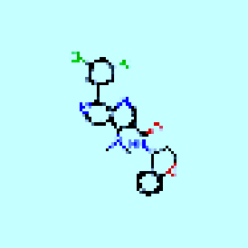 CN(C)c1c(C(=O)N[C@H]2CCOc3ccccc32)cnc2c(-c3cc(Cl)cc(Cl)c3)nccc12